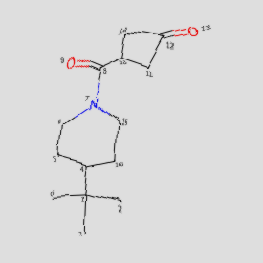 CC(C)(C)C1CCN(C(=O)C2CC(=O)C2)CC1